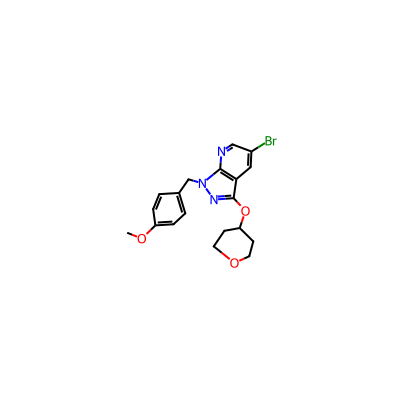 COc1ccc(Cn2nc(OC3CCOCC3)c3cc(Br)cnc32)cc1